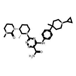 C[C@@H]1[C@H](N2CCCN(C)C2=O)CCCN1c1nnc(C(N)=O)c(Nc2ccc(C3(C)CCN(C4CC4)CC3)cc2)n1